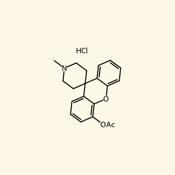 CC(=O)Oc1cccc2c1Oc1ccccc1C21CCN(C)CC1.Cl